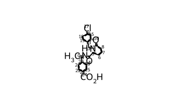 C[C@H](NC(=O)c1cccc(=O)n1Cc1ccc(Cl)cc1)c1ccc(C(=O)O)cc1